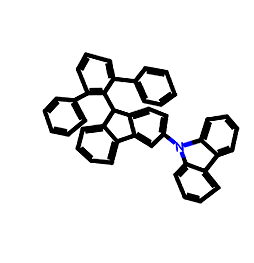 c1ccc(-c2cccc(-c3ccccc3)c2C2c3ccccc3-c3cc(-n4c5ccccc5c5ccccc54)ccc32)cc1